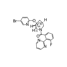 O=C(c1cccc(F)c1-c1ncccn1)N1C[C@@H]2CC[C@H]1[C@H](Oc1ccc(Br)cn1)C2